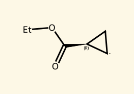 CCOC(=O)[C@@H]1[CH]C1